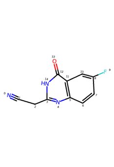 N#CCc1nc2ccc(F)cc2c(=O)[nH]1